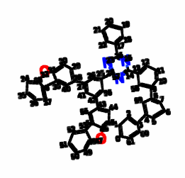 c1ccc(-c2cccc(-c3cccc(-c4nc(-c5ccccc5)nc(-c5cc(-c6ccc7oc8ccccc8c7c6)cc(-c6ccc7oc8ccccc8c7c6)c5)n4)c3)c2)cc1